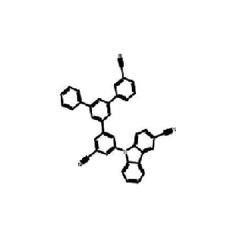 N#Cc1cccc(-c2cc(-c3ccccc3)cc(-c3cc(C#N)cc(-n4c5ccccc5c5cc(C#N)ccc54)c3)c2)c1